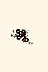 CC1=CC=CC2[CH]([Zr+2](=[CH]c3ccc(C(C)(C)C)cc3)([C]3=CC=CC3)[C]3=CC=CC3)C3(C)C4(C)C=CC=CC4(C)C4(C)C=CC=CC4(C)C3(C)C12C.[Cl-].[Cl-]